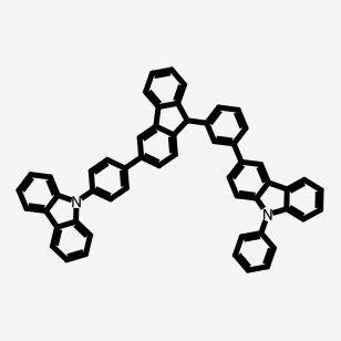 c1ccc(-n2c3ccccc3c3cc(-c4cccc(C5c6ccccc6-c6cc(-c7ccc(-n8c9ccccc9c9ccccc98)cc7)ccc65)c4)ccc32)cc1